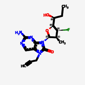 C#CCn1c(=O)n([C@@H]2O[C@H]([C@@H](O)CC)[C@H](F)[C@H]2C)c2nc(N)ncc21